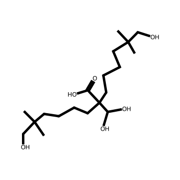 CC(C)(CO)CCCCC(CCCCC(C)(C)CO)(C(=O)O)C(O)O